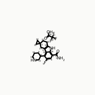 NC(=O)c1cc(F)c(C2CCCNC2)c2c3c([nH]c12)CCC1(CC1)C3.O=C(O)C(F)(F)F